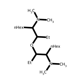 CCCCCCC(C(CC)OC(CC)C(CCCCCC)N(C)C)N(C)C